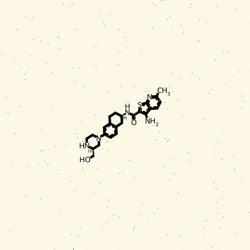 Cc1ccc2c(N)c(C(=O)N[C@@H]3CCc4cc(N5CCN[C@H](CO)C5)ccc4C3)sc2n1